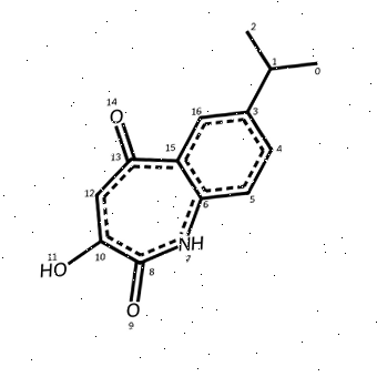 CC(C)c1ccc2[nH]c(=O)c(O)cc(=O)c2c1